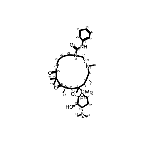 CO[C@]1(C)C[C@@H](C)CN(C)CCN(C(=O)Nc2ccccc2)CCCOC(=O)C(C)(C)C(=O)[C@H](C)[C@H]1O[C@@H]1O[C@H](C)C[C@H](N(C)C)[C@H]1O